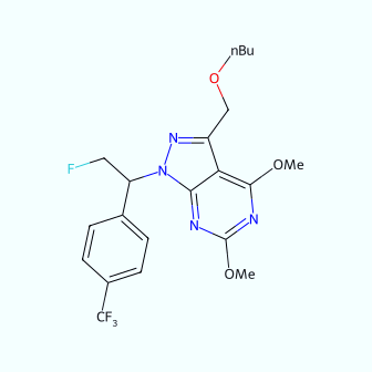 CCCCOCc1nn(C(CF)c2ccc(C(F)(F)F)cc2)c2nc(OC)nc(OC)c12